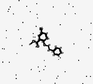 COC(=O)c1cc(Br)cnc1OCCc1ccncc1